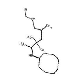 CC(CNCS)CC(C)(C)C(C)BC1CCCCCCC1